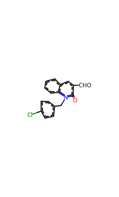 O=Cc1cc2ccccc2n(Cc2ccc(Cl)cc2)c1=O